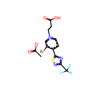 CC(=O)[O-].O=C(O)CC[n+]1ccc(-c2nc(C(F)(F)F)ns2)c(Br)c1